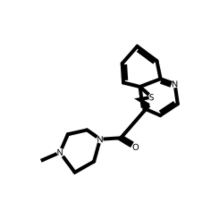 CN1CCN(C(=O)C2=C3C=CN=C4C=CC=CC43SC2)CC1